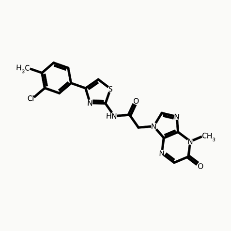 Cc1ccc(-c2csc(NC(=O)Cn3cnc4c3ncc(=O)n4C)n2)cc1Cl